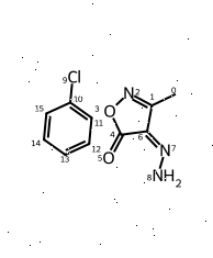 CC1=NOC(=O)C1=NN.Clc1ccccc1